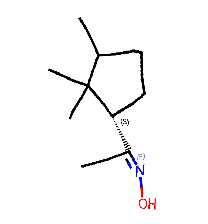 C/C(=N\O)[C@H]1CCC(C)C1(C)C